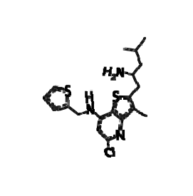 Cc1c(CC(N)CC(C)C)sc2c(NCc3cccs3)cc(Cl)nc12